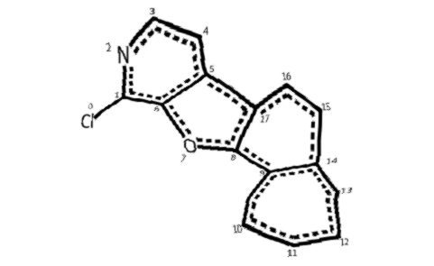 Clc1nccc2c1oc1c3ccccc3ccc21